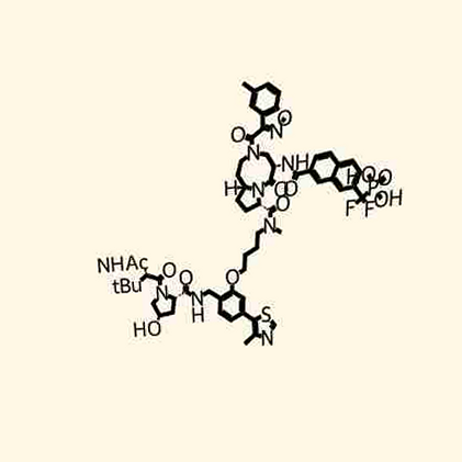 CC(=O)N[C@H](C(=O)N1C[C@H](O)C[C@H]1C(=O)NCc1ccc(-c2scnc2C)cc1OCCCCN(C)C(=O)[C@@H]1CC[C@@H]2CCN(C(=O)c3noc4ccc(C)cc34)C[C@H](NC(=O)c3ccc4ccc(C(F)(F)P(=O)(O)O)cc4c3)C(=O)N21)C(C)(C)C